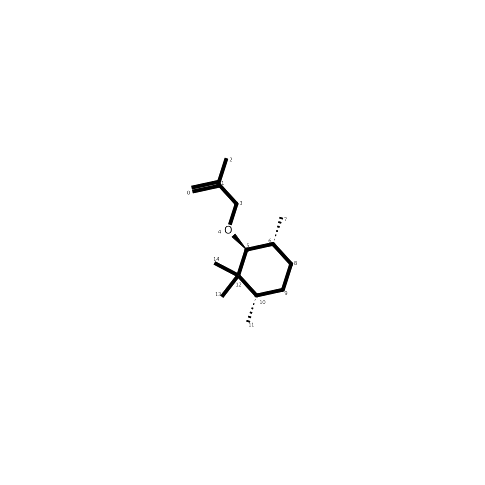 C=C(C)CO[C@H]1[C@H](C)CC[C@H](C)C1(C)C